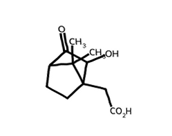 CC1(C)C2CCC1(CC(=O)O)C(O)C2=O